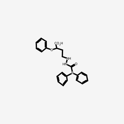 O=C(O)C(CCNNC(=O)N(c1ccccc1)c1ccccc1)Oc1ccccc1